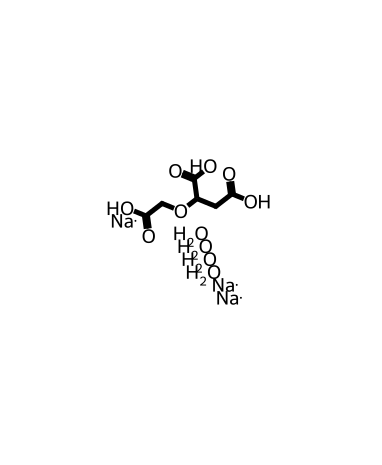 O.O.O.O.O=C(O)COC(CC(=O)O)C(=O)O.[Na].[Na].[Na]